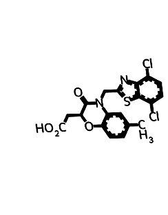 Cc1ccc2c(c1)N(Cc1nc3c(Cl)ccc(Cl)c3s1)C(=O)C(CC(=O)O)O2